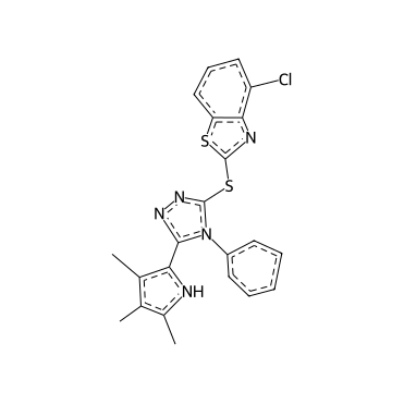 Cc1[nH]c(-c2nnc(Sc3nc4c(Cl)cccc4s3)n2-c2ccccc2)c(C)c1C